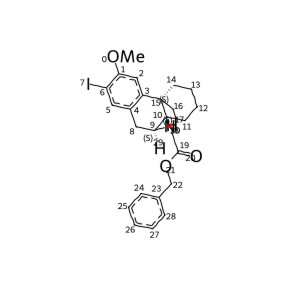 COc1cc2c(cc1I)C[C@H]1[C@H]3CCCC[C@@]23CCN1C(=O)OCc1ccccc1